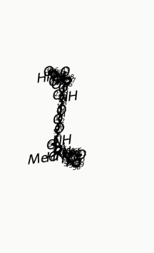 COc1cc(C(=O)NCCCOCCOCCOCCCNC(=O)COc2cccc3c2C(=O)N(C2CCC(=O)NC2=O)C3=O)ccc1Nc1ncc2c(n1)N(C)C1C=CC=CC1C(=O)N2C